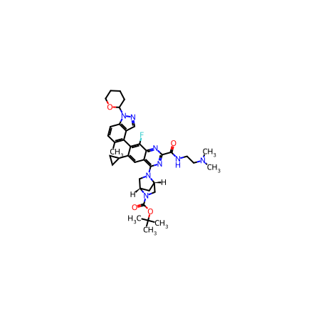 Cc1ccc2c(cnn2C2CCCCO2)c1-c1c(C2CC2)cc2c(N3C[C@@H]4C[C@H]3CN4C(=O)OC(C)(C)C)nc(C(=O)NCCN(C)C)nc2c1F